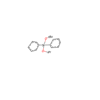 CC(C)O[Si](OC(C)(C)C)(c1ccccc1)c1ccccc1